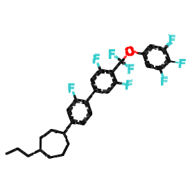 CCCC1CCCC(c2ccc(-c3cc(F)c(C(F)(F)Oc4cc(F)c(F)c(F)c4)c(F)c3)c(F)c2)CC1